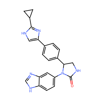 O=C1NCC(c2ccc(-c3c[nH]c(C4CC4)n3)cc2)N1c1ccc2[nH]cnc2c1